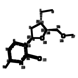 CC[C@H]1C[C@H](n2ccc(C)nc2=O)O[C@@H]1COC